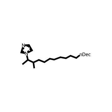 CCCCCCCCCCCCCCCCCCC(C)C(C)n1ccnc1